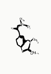 Cc1nc2c(n1C)C=C(C(=O)N(C)C)CC2